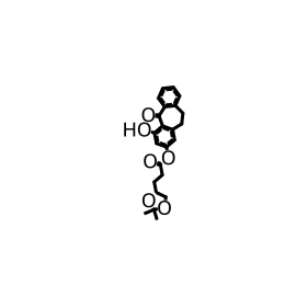 CC1(C)OCC(CCC(=O)Oc2cc(O)c3c(c2)CCc2ccccc2C3=O)O1